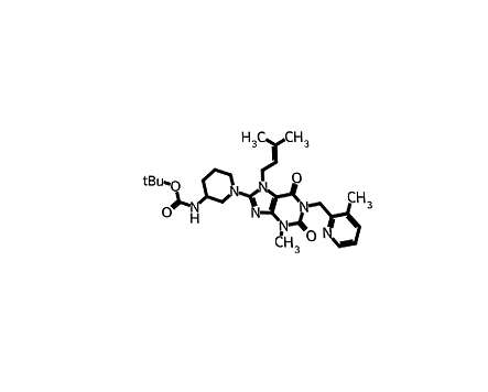 CC(C)=CCn1c(N2CCCC(NC(=O)OC(C)(C)C)C2)nc2c1c(=O)n(Cc1ncccc1C)c(=O)n2C